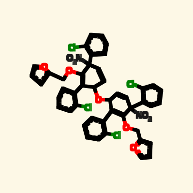 O=[N+]([O-])C1(c2ccccc2Cl)C=CC(OC2C=CC(c3ccccc3Cl)([N+](=O)[O-])C(OCc3ccco3)=C2c2ccccc2Cl)C(c2ccccc2Cl)=C1OCc1ccco1